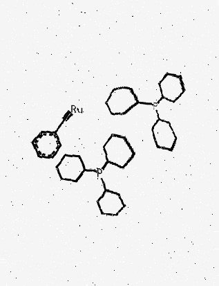 C1CCC(P(C2CCCCC2)C2CCCCC2)CC1.C1CCC(P(C2CCCCC2)C2CCCCC2)CC1.[Ru]#[C]c1ccccc1